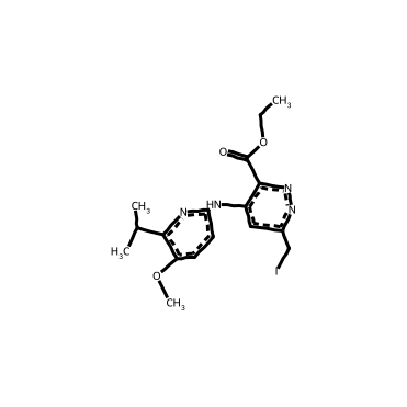 CCOC(=O)c1nnc(CI)cc1Nc1ccc(OC)c(C(C)C)n1